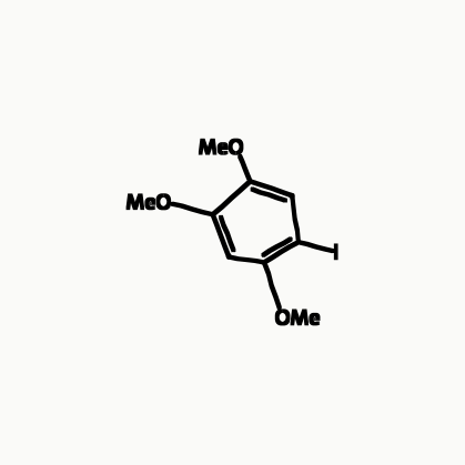 COc1cc(OC)c(OC)cc1I